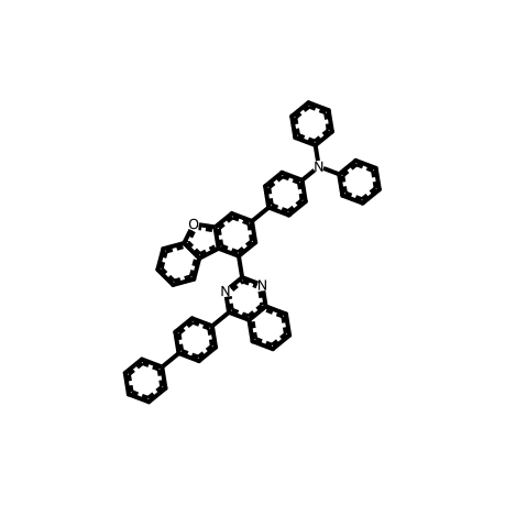 c1ccc(-c2ccc(-c3nc(-c4cc(-c5ccc(N(c6ccccc6)c6ccccc6)cc5)cc5oc6ccccc6c45)nc4ccccc34)cc2)cc1